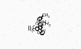 CC1=[C]C(c2ccccn2)C2=C(CC(C)(C)CC2=O)N1C(=O)Nc1cc(C)ccn1